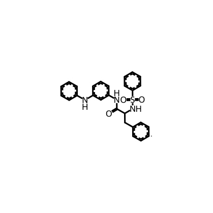 O=C(Nc1cccc(Nc2ccccc2)c1)C(Cc1cc[c]cc1)NS(=O)(=O)c1ccccc1